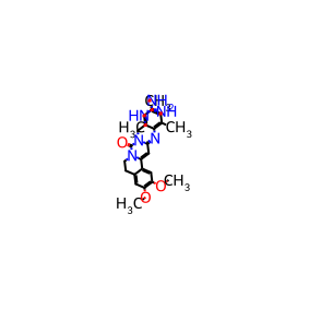 COc1cc2c(cc1OC)-c1c/c(=N/c3c(C)cc(C)cc3C)n(CCNC(=N)N)c(=O)n1CC2